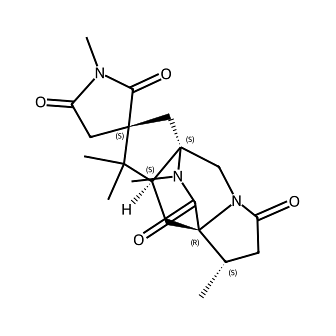 C[C@H]1CC(=O)N2C[C@]34C[C@]5(CC(=O)N(C)C5=O)C(C)(C)[C@@H]3C[C@]12C(=O)N4C